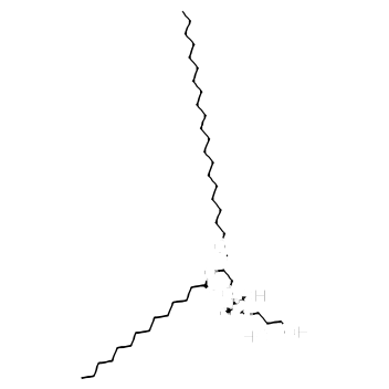 CCCCCCCCCCCCCCCCCCCCOC[C@H](COP(=O)(O)OC[C@@H](O)CO)OC(=O)CCCCCCCCCCCCC